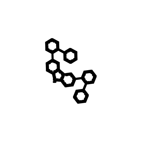 c1ccc(-c2ccccc2-c2ccc3sc4ccc(-c5ccccc5-c5ccccc5)cc4c3c2)cc1